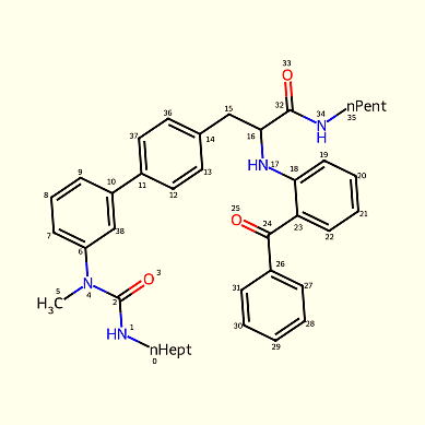 CCCCCCCNC(=O)N(C)c1cccc(-c2ccc(CC(Nc3ccccc3C(=O)c3ccccc3)C(=O)NCCCCC)cc2)c1